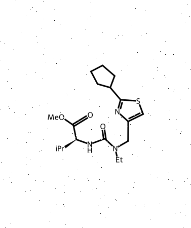 CCN(Cc1csc(C2CCCC2)n1)C(=O)N[C@H](C(=O)OC)C(C)C